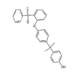 CC(C)(c1ccc(O)cc1)c1ccc(Oc2ccccc2S(=O)(=O)c2ccccc2)cc1